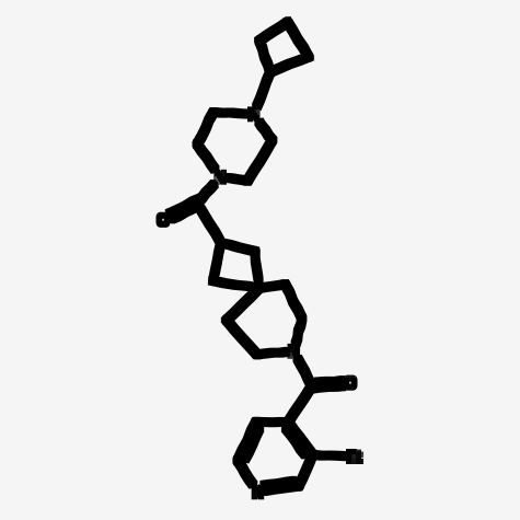 CCc1cnccc1C(=O)N1CCC2(CC1)CC(C(=O)N1CCN(C3CCC3)CC1)C2